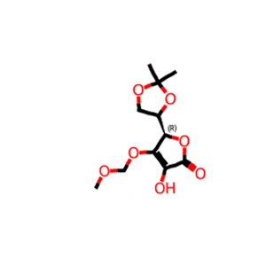 COCOC1=C(O)C(=O)O[C@@H]1C1COC(C)(C)O1